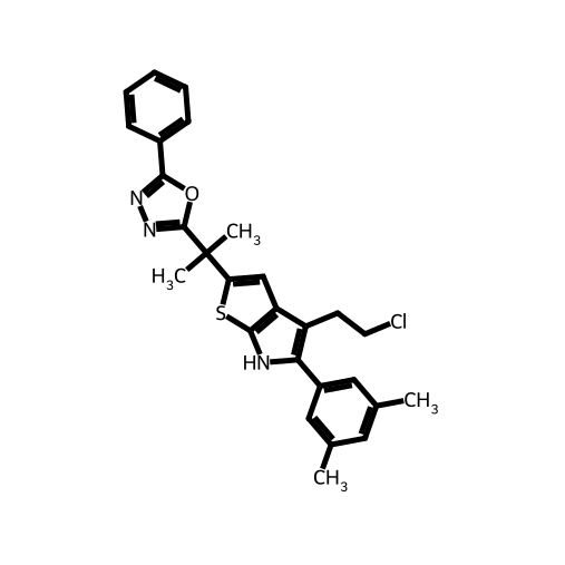 Cc1cc(C)cc(-c2[nH]c3sc(C(C)(C)c4nnc(-c5ccccc5)o4)cc3c2CCCl)c1